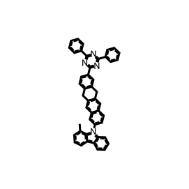 Cc1cccc2c3ccccc3n(-c3ccc4cc5c(cc4c3)Cc3ccc(-c4nc(-c6ccccc6)nc(-c6ccccc6)n4)cc3C5)c12